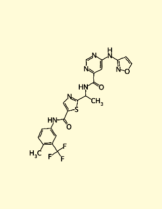 Cc1ccc(NC(=O)c2cnc(C(C)NC(=O)c3cc(Nc4ccon4)ncn3)s2)cc1C(F)(F)F